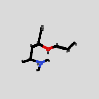 [Li][CH](CC(C)N(C)C)OCCC